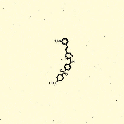 Nc1cccc(C=Cc2cnc(Nc3ccc(S(=O)(=O)C4CCN(C(=O)O)CC4)cc3)nc2)c1